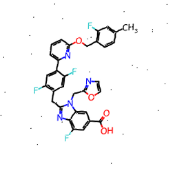 Cc1ccc(COc2cccc(-c3cc(F)c(Cc4nc5c(F)cc(C(=O)O)cc5n4Cc4ncco4)cc3F)n2)c(F)c1